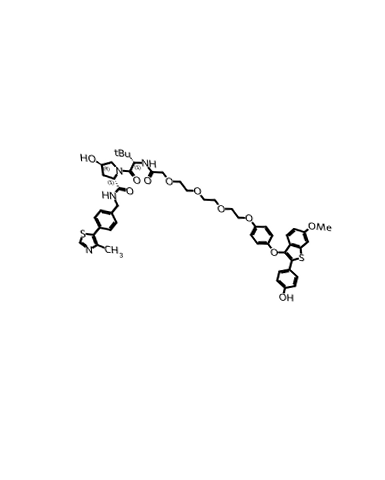 COc1ccc2c(Oc3ccc(OCCOCCOCCOCC(=O)N[C@H](C(=O)N4C[C@H](O)C[C@H]4C(=O)NCc4ccc(-c5scnc5C)cc4)C(C)(C)C)cc3)c(-c3ccc(O)cc3)sc2c1